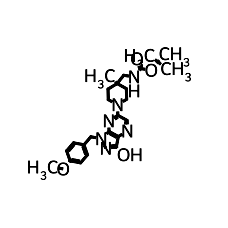 COc1ccc(Cn2nc(O)c3ncc(N4CCC(C)(CNC(=O)OC(C)(C)C)CC4)nc32)cc1